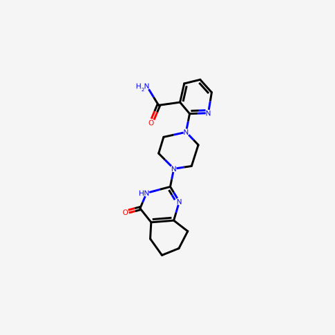 NC(=O)c1cccnc1N1CCN(c2nc3c(c(=O)[nH]2)CCCC3)CC1